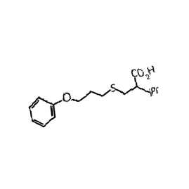 CC(C)C(CSCCCOc1ccccc1)C(=O)O